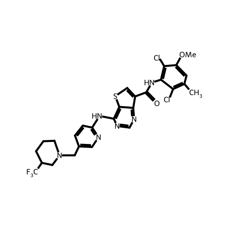 COc1cc(C)c(Cl)c(NC(=O)c2csc3c(Nc4ccc(CN5CCCC(C(F)(F)F)C5)cn4)ncnc23)c1Cl